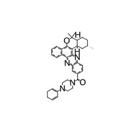 C[C@H]1CC[C@H]2[C@H](C1)c1c(c3ccccc3c3nc4cc(C(=O)N5CCN(C6=CCCC=C6)CC5)ccc4nc13)OC2(C)C